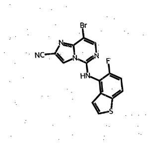 N#Cc1cn2c(Nc3c(F)ccc4sccc34)ncc(Br)c2n1